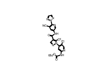 CC(C)(C)OC(=O)Nc1cc(-n2ncc(C(=O)Nc3cnc(-n4nccn4)c(C#N)c3)c2C(F)(F)F)c(Cl)cn1